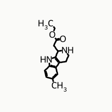 CCOC(=O)CC1NCCc2c1[nH]c1ccc(C)cc21